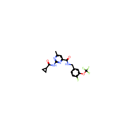 Cc1cc(C(=O)NCc2ccc(F)c(OC(F)(F)F)c2)nc(NC(=O)C2CC2)n1